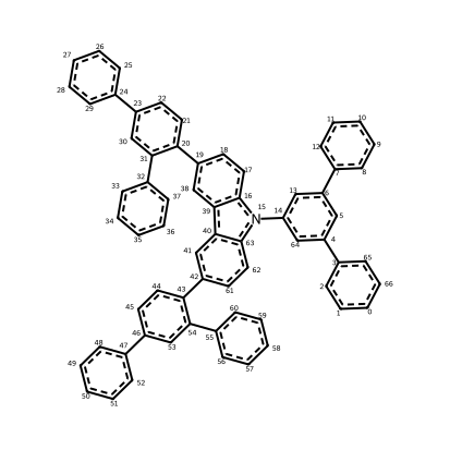 c1ccc(-c2cc(-c3ccccc3)cc(-n3c4ccc(-c5ccc(-c6ccccc6)cc5-c5ccccc5)cc4c4cc(-c5ccc(-c6ccccc6)cc5-c5ccccc5)ccc43)c2)cc1